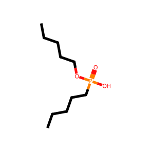 [CH2]CCCCP(=O)(O)OCCCCC